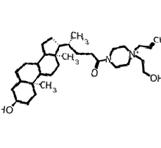 C=CC[N+]1(CCO)CCN(C(=O)CC[C@@H](C)[C@H]2CCC3C4CCC5C[C@H](O)CC[C@]5(C)C4CC[C@@]32C)CC1